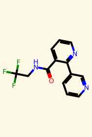 O=C(NCC(F)(F)F)c1cccnc1-c1cccnc1